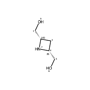 OC[C@@H]1C[C@H](CO)N1